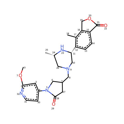 COc1cc(N2CC(CN3C[C@@H](c4ccc5c(c4C)COC5=O)N[C@@H](C)C3)CC2=O)ccn1